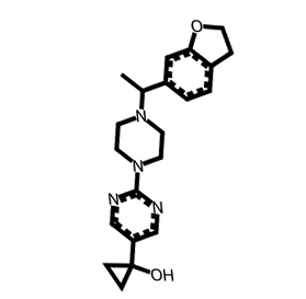 CC(c1ccc2c(c1)OCC2)N1CCN(c2ncc(C3(O)CC3)cn2)CC1